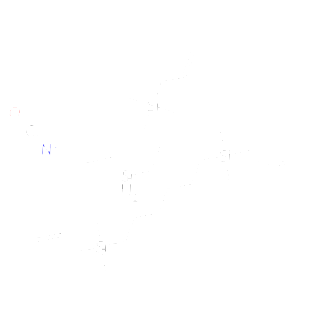 C=CC[Si](C)(C)CCCC(CC[Si](C)(C)CC=C)C(CC[Si](C)(C)CC=C)[SiH2]CCCN=C=O